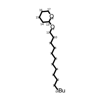 CCC(C)CCCCCCCCCCCOC1CCCCO1